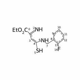 CCOC(=O)C(=N)/C=C(/S)NCc1ccccc1F